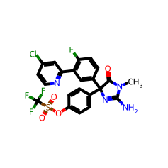 CN1C(=O)C(c2ccc(OS(=O)(=O)C(F)(F)F)cc2)(c2ccc(F)c(-c3cc(Cl)ccn3)c2)N=C1N